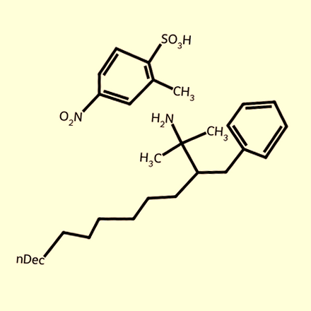 CCCCCCCCCCCCCCCCC(Cc1ccccc1)C(C)(C)N.Cc1cc([N+](=O)[O-])ccc1S(=O)(=O)O